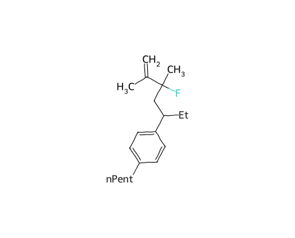 C=C(C)C(C)(F)CC(CC)c1ccc(CCCCC)cc1